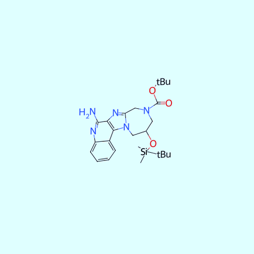 CC(C)(C)OC(=O)N1Cc2nc3c(N)nc4ccccc4c3n2CC(O[Si](C)(C)C(C)(C)C)C1